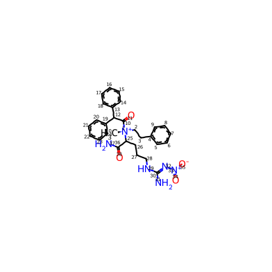 C[N@+](CCc1ccccc1)(C(=O)C(c1ccccc1)c1ccccc1)C(CCCNC(N)=N[N+](=O)[O-])C(N)=O